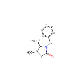 CCOC(=O)[C@@H]1[C@H](C)CC(=O)N1Cc1ccccc1